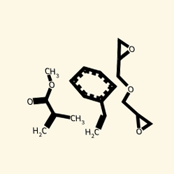 C(OCC1CO1)C1CO1.C=C(C)C(=O)OC.C=Cc1ccccc1